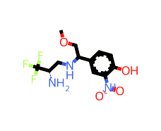 COCC(NC[C@H](N)C(F)(F)F)c1ccc(O)c([N+](=O)[O-])c1